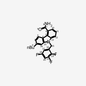 CCCCc1c[c]c2c3c(C(N)=O)cccc3n(Cc3cc(F)cc(F)c3F)c2c1